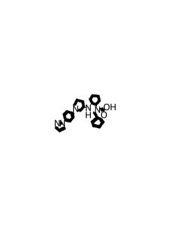 O=C(O)N(Cc1ccccc1)[C@@H]1CCCC[C@H]1N[C@H]1CCCN(c2ccc(-n3cccn3)cc2)C1